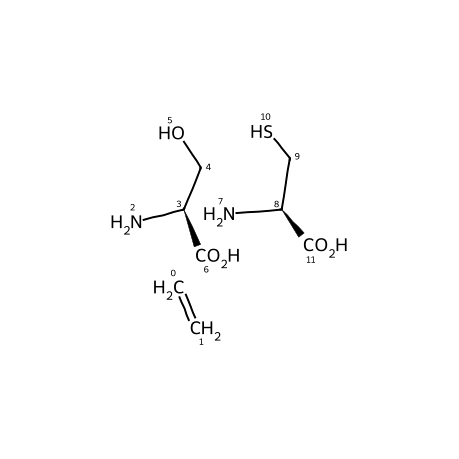 C=C.N[C@@H](CO)C(=O)O.N[C@@H](CS)C(=O)O